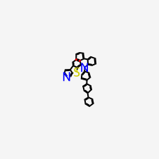 c1ccc(-c2ccc(-c3ccc(N(c4ccccc4-c4ccccc4)c4cccc5c4sc4cnccc45)cc3)cc2)cc1